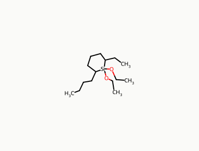 CCCCC1CCCC(CC)[Si]1(OCC)OCC